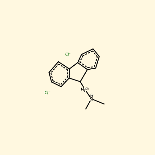 C[SiH](C)[Hf+2][CH]1c2ccccc2-c2ccccc21.[Cl-].[Cl-]